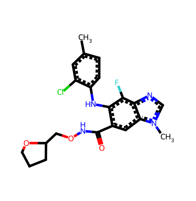 Cc1ccc(Nc2c(C(=O)NOCC3CCCO3)cc3c(ncn3C)c2F)c(Cl)c1